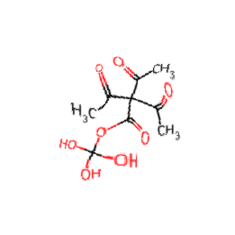 CC(=O)C(C(C)=O)(C(C)=O)C(=O)OC(O)(O)O